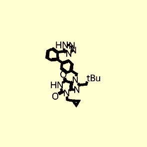 CC(C)(C)Cc1nc2c(c(=O)[nH]c(=O)n2CC2CC2)n1Cc1ccc(-c2ccccc2-c2nnn[nH]2)cc1